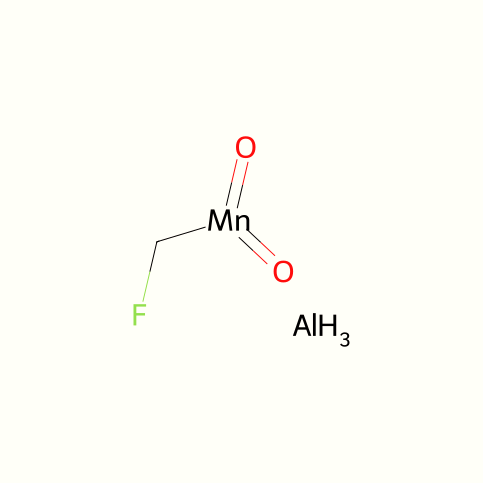 [AlH3].[O]=[Mn](=[O])[CH2]F